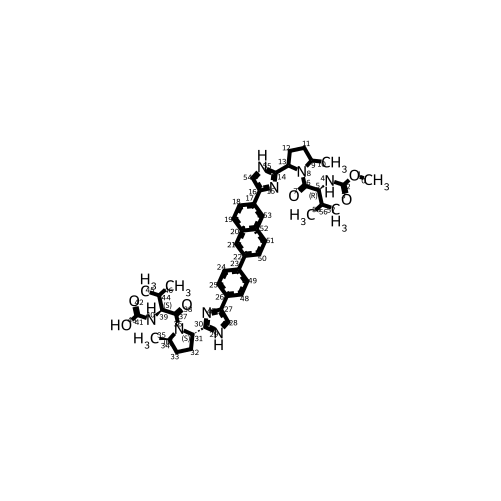 COC(=O)N[C@@H](C(=O)N1C(C)CCC1c1nc(-c2ccc3cc(-c4ccc(-c5c[nH]c([C@@H]6CC[C@@H](C)N6C(=O)[C@@H](NC(=O)O)C(C)C)n5)cc4)ccc3c2)c[nH]1)C(C)C